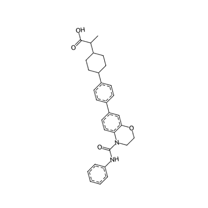 CC(C(=O)O)C1CCC(c2ccc(-c3ccc4c(c3)OCCN4C(=O)Nc3ccccc3)cc2)CC1